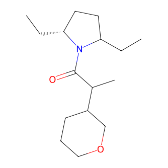 CCC1CC[C@@H](CC)N1C(=O)C(C)C1CCCOC1